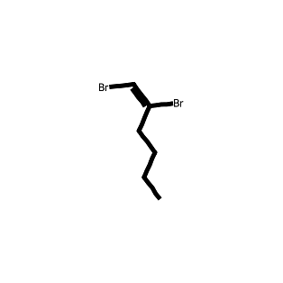 CCCC/C(Br)=C\Br